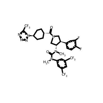 CN(C(=O)N(C)[C@@H]1CN(C(=O)[C@H]2CC[C@H](n3nnnc3C(F)(F)F)CC2)C[C@H]1c1ccc(F)c(F)c1)c1cc(C(F)(F)F)cc(C(F)(F)F)c1